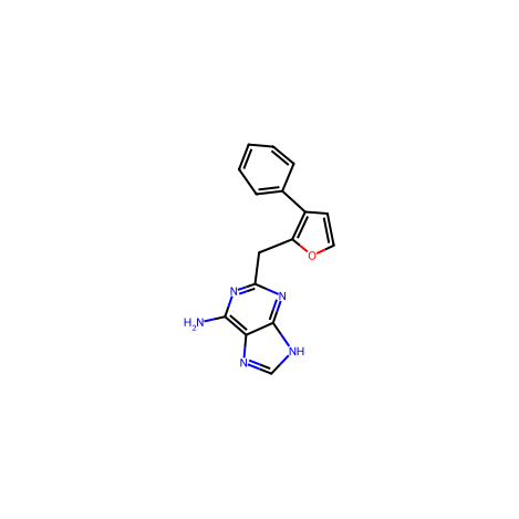 Nc1nc(Cc2occc2-c2ccccc2)nc2[nH]cnc12